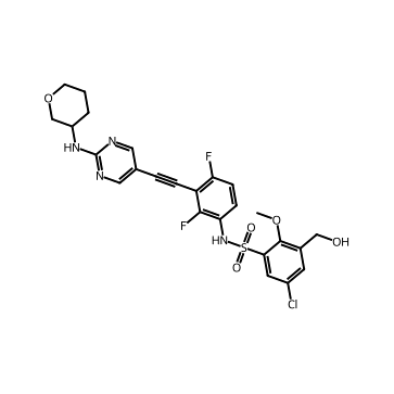 COc1c(CO)cc(Cl)cc1S(=O)(=O)Nc1ccc(F)c(C#Cc2cnc(NC3CCCOC3)nc2)c1F